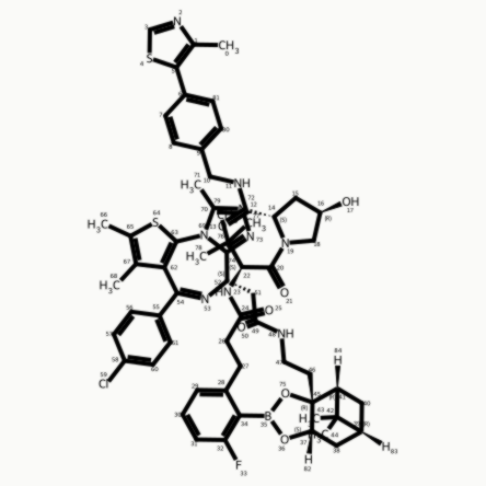 Cc1ncsc1-c1ccc(CNC(=O)[C@@H]2C[C@@H](O)CN2C(=O)[C@@H](NC(=O)CCc2cccc(F)c2B2O[C@H]3C[C@H]4C[C@H](C4(C)C)[C@@]3(CCNC(=O)C[C@@H]3N=C(c4ccc(Cl)cc4)c4c(sc(C)c4C)-n4c(C)nnc43)O2)C(C)(C)C)cc1